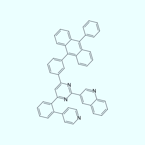 c1ccc(-c2c3ccccc3c(-c3cccc(-c4cc(-c5ccccc5-c5ccncc5)nc(-c5cnc6ccccc6c5)n4)c3)c3ccccc23)cc1